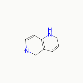 C1=CC2=C(C=C[N]C2)NC1